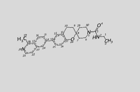 CCNC(=O)N1CCC2(CCc3cc(-c4ccc5c(C)nccc5c4)ccc3O2)CC1